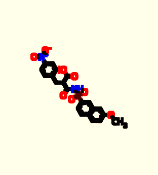 COc1ccc2ccc(S(=O)(=O)NC(=O)C(Cc3ccc([N+](=O)[O-])cc3)C(=O)O)cc2c1